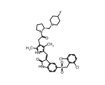 Cc1[nH]c(/C=C2\C(=O)Nc3ccc(S(=O)(=O)Cc4c(Cl)cccc4Cl)cc32)c(C)c1CC(=O)N1CCC[C@H]1CN1CCC(F)CC1